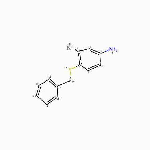 N#Cc1cc(N)ccc1SCc1ccccc1